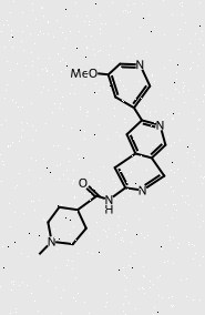 COc1cncc(-c2cc3cc(NC(=O)C4CCN(C)CC4)ncc3cn2)c1